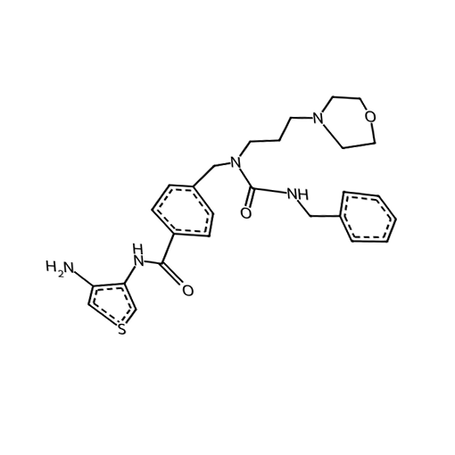 Nc1cscc1NC(=O)c1ccc(CN(CCCN2CCOCC2)C(=O)NCc2ccccc2)cc1